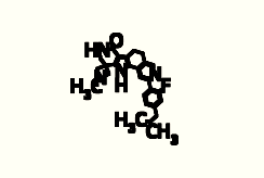 CC(C)Cc1ccc(-c2cc3c(cn2)CCc2c-3[nH]c3c2C(=O)NCC32CN(C)C2)c(F)c1